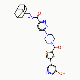 O=C(NCC12CC3CC(CC(C3)C1)C2)c1ccc(N2CCN(C(=O)c3cc(-c4cncc(O)c4)cs3)CC2)nn1